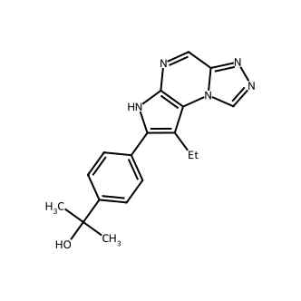 CCc1c(-c2ccc(C(C)(C)O)cc2)[nH]c2ncc3nncn3c12